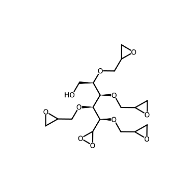 OC[C@@H](OCC1CO1)[C@@H](OCC1CO1)[C@H](OCC1CO1)[C@@H](OCC1CO1)C1OO1